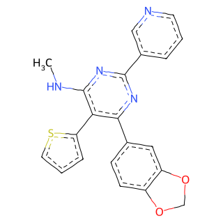 CNc1nc(-c2cccnc2)nc(-c2ccc3c(c2)OCO3)c1-c1cccs1